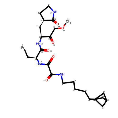 CC(C)C[C@H](NC(=O)C(=O)NCCCCCC12CC(C1)C2)C(=O)N[C@@H](C[C@@H]1CCNC1=O)C(=O)COC(F)(F)F